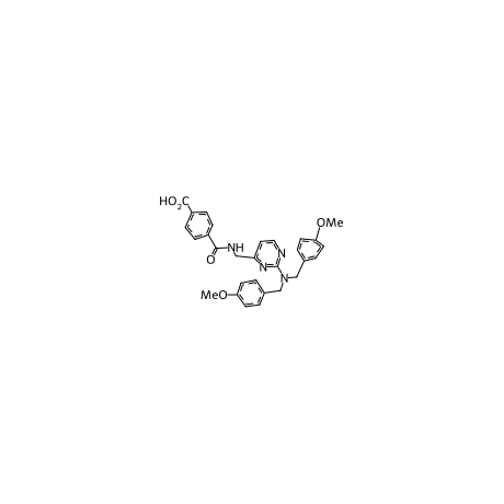 COc1ccc(CN(Cc2ccc(OC)cc2)c2nccc(CNC(=O)c3ccc(C(=O)O)cc3)n2)cc1